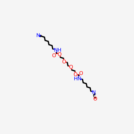 N#CCCCCCCNC(=O)OCCOCCOCCOC(=O)NCCCCCCN=C=O